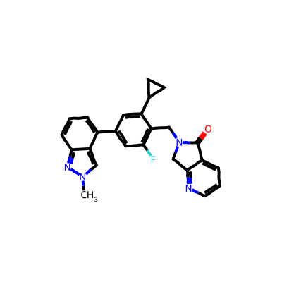 Cn1cc2c(-c3cc(F)c(CN4Cc5ncccc5C4=O)c(C4CC4)c3)cccc2n1